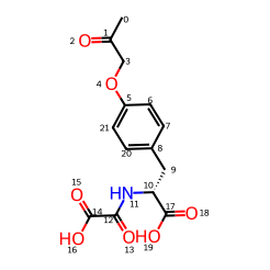 CC(=O)COc1ccc(C[C@@H](NC(=O)C(=O)O)C(=O)O)cc1